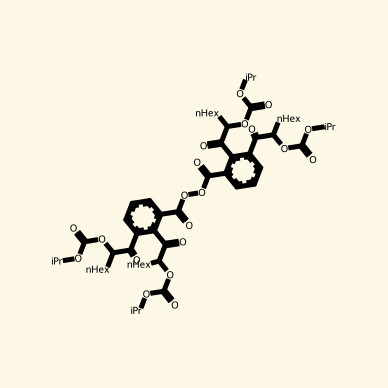 CCCCCCC(OC(=O)OC(C)C)C(=O)c1cccc(C(=O)OOC(=O)c2cccc(C(=O)C(CCCCCC)OC(=O)OC(C)C)c2C(=O)C(CCCCCC)OC(=O)OC(C)C)c1C(=O)C(CCCCCC)OC(=O)OC(C)C